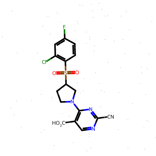 N#Cc1ncc(C(=O)O)c(N2CCC(S(=O)(=O)c3ccc(F)cc3Cl)C2)n1